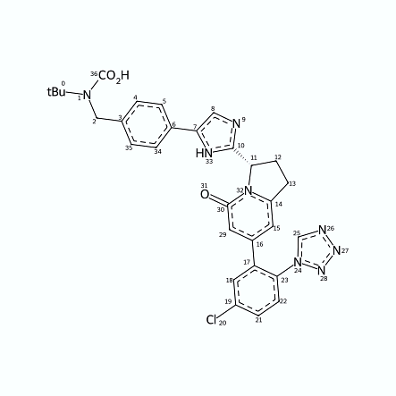 CC(C)(C)N(Cc1ccc(-c2cnc([C@@H]3CCc4cc(-c5cc(Cl)ccc5-n5cnnn5)cc(=O)n43)[nH]2)cc1)C(=O)O